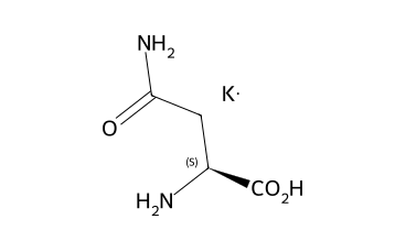 NC(=O)C[C@H](N)C(=O)O.[K]